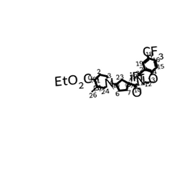 CCOC(=O)[C@H]1CCN([C@@H]2CC[C@@](C(=O)N3COc4ccc(C(F)(F)F)cc4C3)(C(C)C)C2)C[C@H]1C